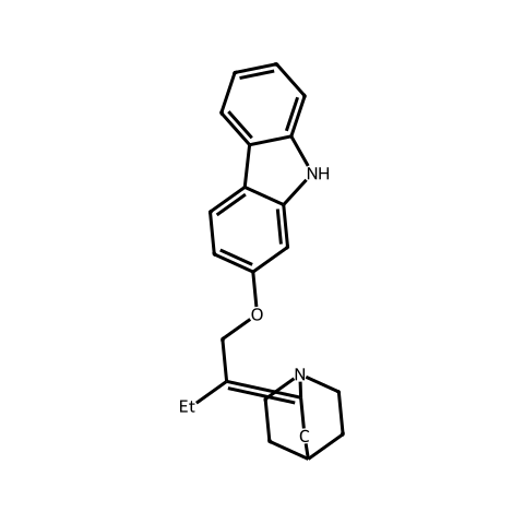 CCC(COc1ccc2c(c1)[nH]c1ccccc12)=C1CC2CCN1CC2